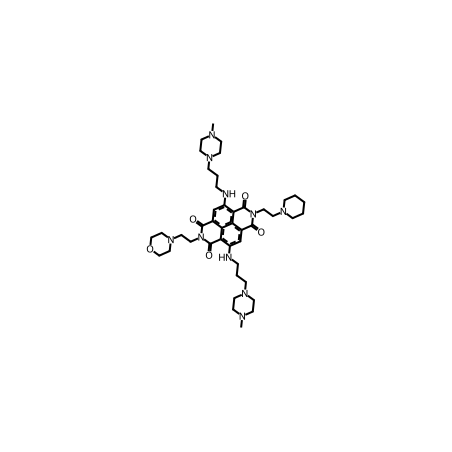 CN1CCN(CCCNc2cc3c4c(c(NCCCN5CCN(C)CC5)cc5c4c2C(=O)N(CCN2CCCCC2)C5=O)C(=O)N(CCN2CCOCC2)C3=O)CC1